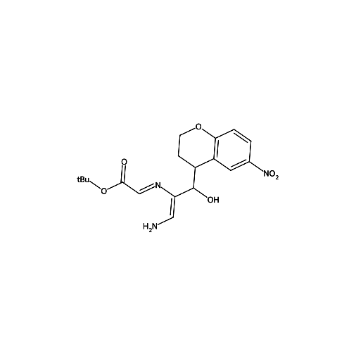 CC(C)(C)OC(=O)/C=N/C(=C\N)C(O)C1CCOc2ccc([N+](=O)[O-])cc21